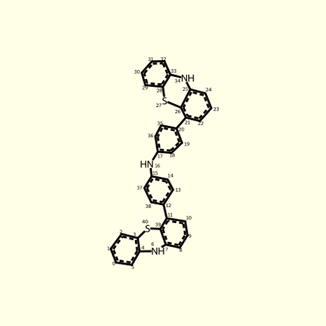 c1ccc2c(c1)Nc1cccc(-c3ccc(Nc4ccc(-c5cccc6c5Sc5ccccc5N6)cc4)cc3)c1S2